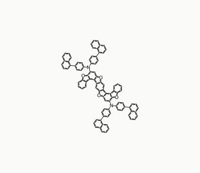 c1ccc2c(-c3ccc(N(c4ccc(-c5cccc6ccccc56)cc4)c4cc5oc6cc7c(cc6c5c5c4oc4ccccc45)oc4cc(N(c5ccc(-c6cccc8ccccc68)cc5)c5ccc(-c6cccc8ccccc68)cc5)c5oc6ccccc6c5c47)cc3)cccc2c1